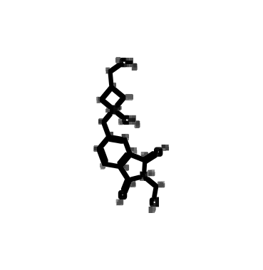 CCC1C[N+](C)(Cc2ccc3c(c2)C(=O)N(CCl)C3=O)C1